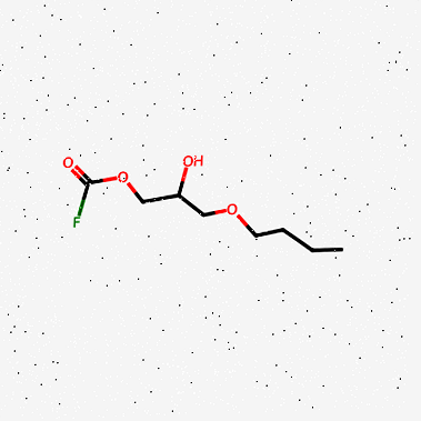 CCCCOCC(O)COC(=O)F